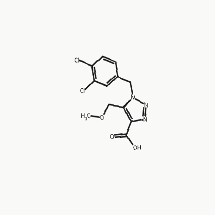 COCc1c(C(=O)O)nnn1Cc1ccc(Cl)c(Cl)c1